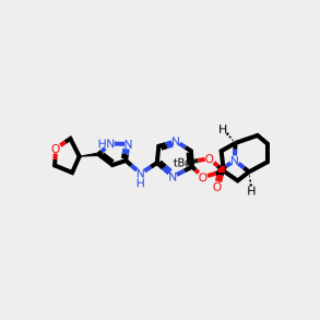 CC(C)(C)OC(=O)N1[C@@H]2CCC[C@H]1CC(Oc1cncc(Nc3cc([C@H]4CCOC4)[nH]n3)n1)C2